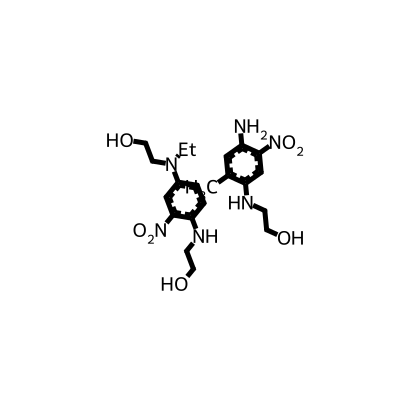 CCN(CCO)c1ccc(NCCO)c([N+](=O)[O-])c1.Cc1cc(N)c([N+](=O)[O-])cc1NCCO